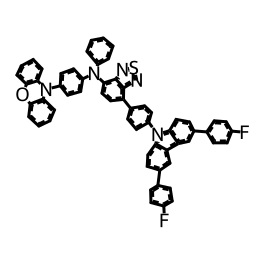 Fc1ccc(-c2ccc3c(c2)c2cc(-c4ccc(F)cc4)ccc2n3-c2ccc(-c3ccc(N(c4ccccc4)c4ccc(N5c6ccccc6Oc6ccccc65)cc4)c4nsnc34)cc2)cc1